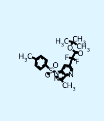 Cc1ccc(S(=O)(=O)n2nc(C)c3ncc(C(F)(F)C(=O)OC(C)(C)C)cc32)cc1